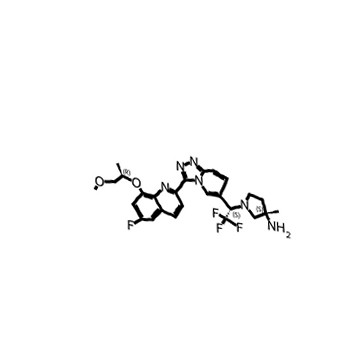 COC[C@@H](C)Oc1cc(F)cc2ccc(-c3nnc4ccc([C@H](N5CC[C@](C)(N)C5)C(F)(F)F)cn34)nc12